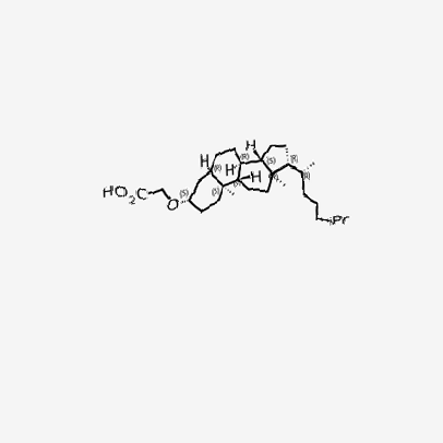 CC(C)CCC[C@@H](C)[C@H]1CC[C@H]2[C@@H]3CC[C@@H]4C[C@@H](OCC(=O)O)CC[C@]4(C)[C@H]3CC[C@]12C